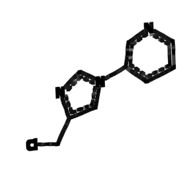 ClCc1cn(-c2cccnc2)cn1